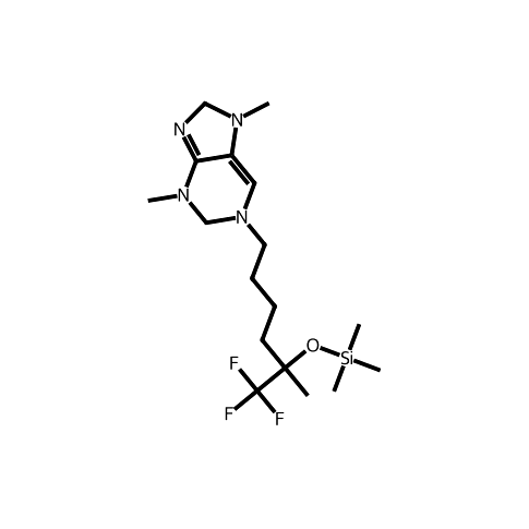 CN1CN=C2C1=CN(CCCCC(C)(O[Si](C)(C)C)C(F)(F)F)CN2C